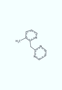 Cc1cccnc1Cc1ncccn1